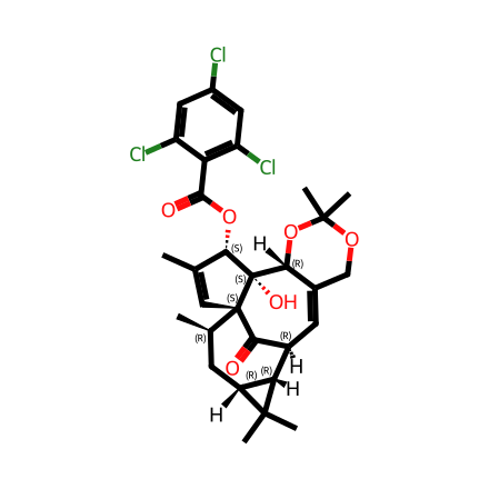 CC1=C[C@]23C(=O)[C@@H](C=C4COC(C)(C)O[C@H]4[C@]2(O)[C@H]1OC(=O)c1c(Cl)cc(Cl)cc1Cl)[C@H]1[C@@H](C[C@H]3C)C1(C)C